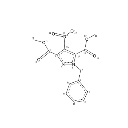 COC(=O)c1nn(Cc2ccccc2)c(C(=O)OC)c1[N+](=O)[O-]